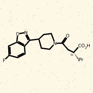 CC(C)[C@H](CC(=O)N1CCC(c2noc3cc(F)ccc23)CC1)C(=O)O